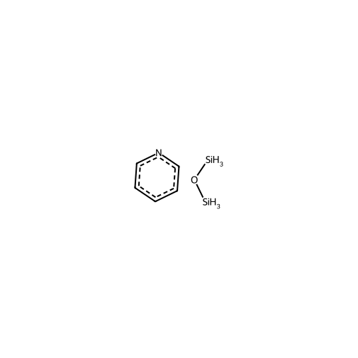 [SiH3]O[SiH3].c1ccncc1